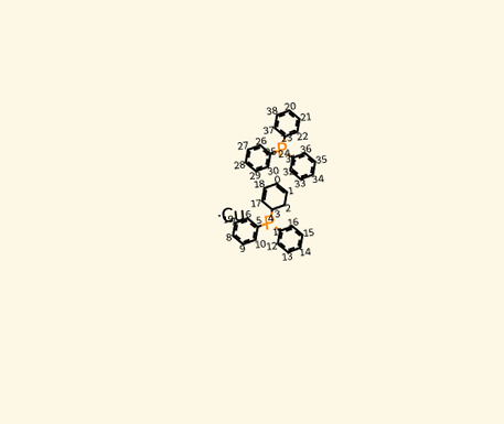 C1=CCC(P(c2ccccc2)c2ccccc2)C=C1.[Cu].c1ccc(P(c2ccccc2)c2ccccc2)cc1